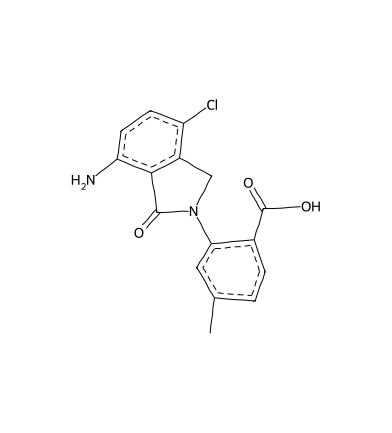 Cc1ccc(C(=O)O)c(N2Cc3c(Cl)ccc(N)c3C2=O)c1